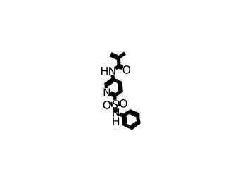 C=C(C)C(=O)Nc1ccc(S(=O)(=O)Nc2ccccc2)nc1